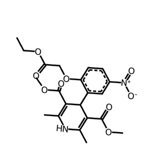 CCOC(=O)COc1ccc([N+](=O)[O-])cc1C1C(C(=O)OC)=C(C)NC(C)=C1C(=O)OC